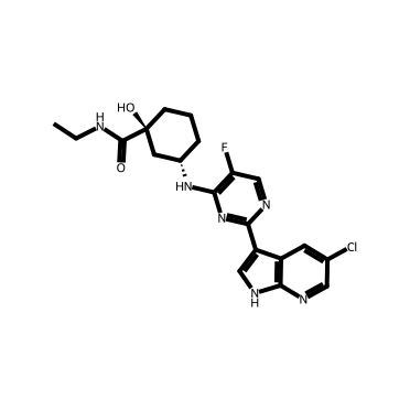 CCNC(=O)[C@]1(O)CCC[C@H](Nc2nc(-c3c[nH]c4ncc(Cl)cc34)ncc2F)C1